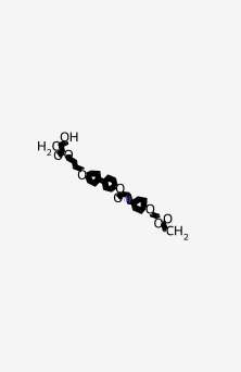 C=CC(=O)OCCOc1ccc(/C=C/C(=O)Oc2ccc(-c3ccc(OCCCCOC(=O)C(=C)CO)cc3)cc2)cc1